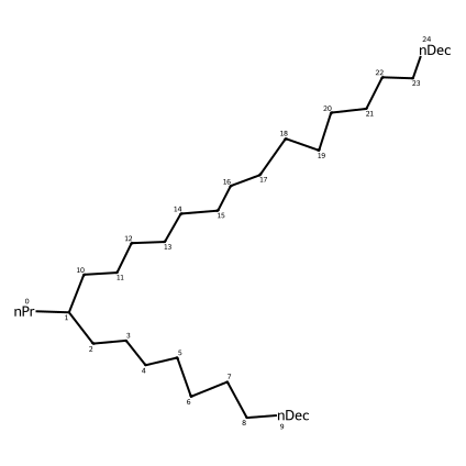 [CH2]CCC(CCCCCCCCCCCCCCCCC)CCCCCCCCCCCCCCCCCCCCCCCC